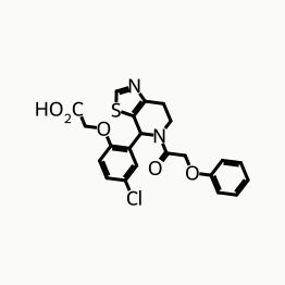 O=C(O)COc1ccc(Cl)cc1C1c2scnc2CCN1C(=O)COc1ccccc1